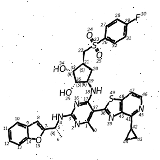 Cc1nc(N[C@H](C)c2cc3ccccc3o2)nc(N[C@@H]2C[C@H](CS(=O)(=O)c3ccc(F)cc3)[C@@H](O)[C@H]2O)c1-c1nc2c(C3CC3)nccc2s1